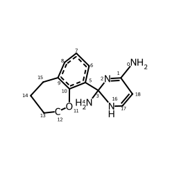 NC1=NC(N)(c2cccc3c2OCCCC3)NC=C1